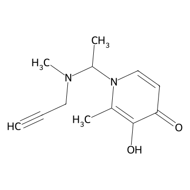 C#CCN(C)C(C)n1ccc(=O)c(O)c1C